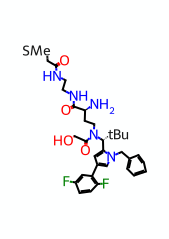 CSCC(=O)NCCNC(=O)[C@@H](N)CCN(C(=O)CO)[C@@H](c1cc(-c2cc(F)ccc2F)cn1Cc1ccccc1)C(C)(C)C